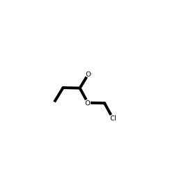 CCC([O])OCCl